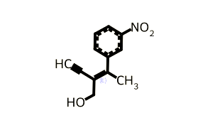 C#C/C(CO)=C(/C)c1cccc([N+](=O)[O-])c1